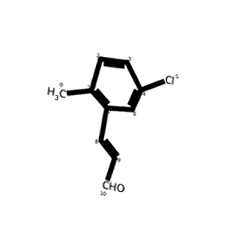 Cc1ccc(Cl)cc1C=CC=O